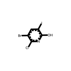 Oc1nc(Cl)c(Br)cc1I